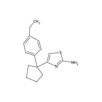 CCc1ccc(C2(c3csc(N)n3)CCCC2)cc1